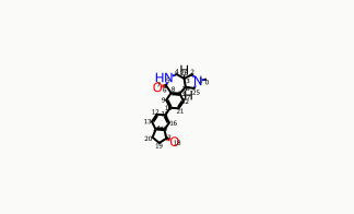 CN1C[C@H]2CNC(=O)c3cc(-c4ccc5c(c4)C(=O)CC5)ccc3[C@@H]2C1